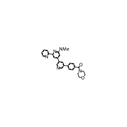 CNc1cc(-c2cncc(-c3ccc(C(=O)N4CCOCC4)cc3)c2)cc(-c2ccccn2)n1